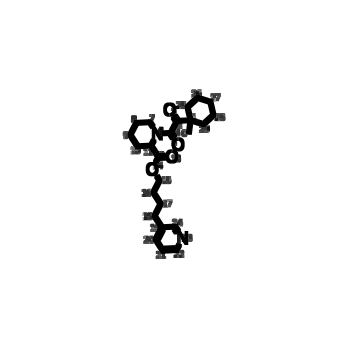 CC1(C(=O)C(=O)N2CCCCC2C(=O)OCCCCc2cccnc2)CCCCC1